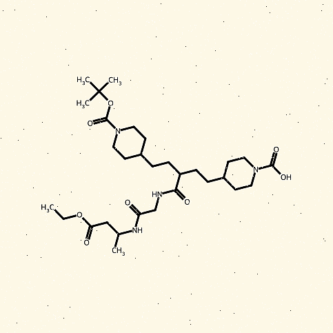 CCOC(=O)CC(C)NC(=O)CNC(=O)C(CCC1CCN(C(=O)O)CC1)CCC1CCN(C(=O)OC(C)(C)C)CC1